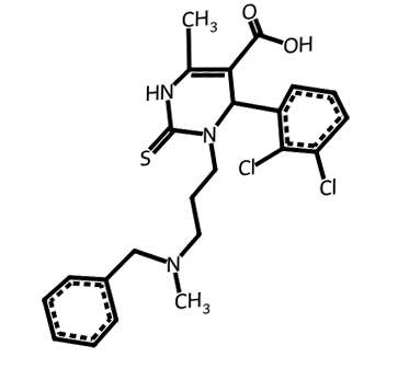 CC1=C(C(=O)O)C(c2cccc(Cl)c2Cl)N(CCCN(C)Cc2ccccc2)C(=S)N1